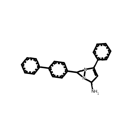 NC1C=C(c2ccccc2)N2C(c3ccc(-c4ccccc4)cc3)N12